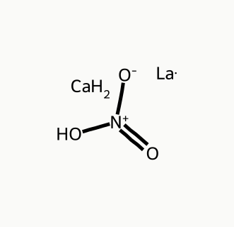 O=[N+]([O-])O.[CaH2].[La]